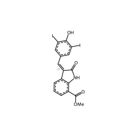 COC(=O)c1cccc2c1NC(=O)/C2=C\c1cc(I)c(O)c(I)c1